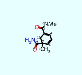 CNC(=O)C1=CC=CC(C)(C(N)=O)C1